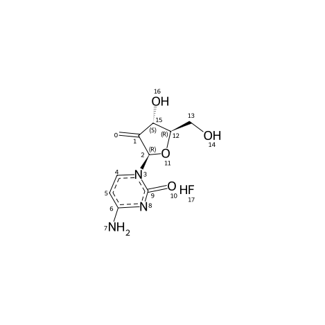 C=C1[C@H](n2ccc(N)nc2=O)O[C@H](CO)[C@H]1O.F